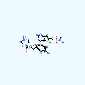 CN(C)S(=O)(=O)CCc1cc2nccc(-c3cc(Cl)cc4c3O[C@@H](C(=O)N3CCNCC3)C4)c2s1